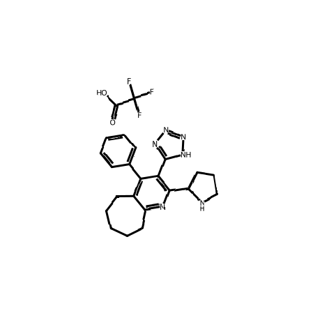 O=C(O)C(F)(F)F.c1ccc(-c2c3c(nc(C4CCCN4)c2-c2nnn[nH]2)CCCCC3)cc1